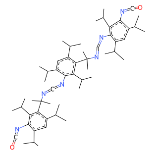 CC(C)c1cc(C(C)C)c(N=C=NC(C)(C)c2c(C(C)C)cc(C(C)C)c(N=C=NC(C)(C)c3c(C(C)C)cc(C(C)C)c(N=C=O)c3C(C)C)c2C(C)C)c(C(C)C)c1N=C=O